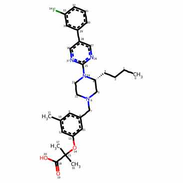 CCCC[C@@H]1CN(Cc2cc(C)cc(OC(C)(C)C(=O)O)c2)CCN1c1ncc(-c2cccc(F)c2)cn1